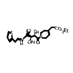 CCOC(=O)CC1CCN(C(=O)[C@H](O)[C@@H](O)C(=O)NCCc2cccs2)CC1